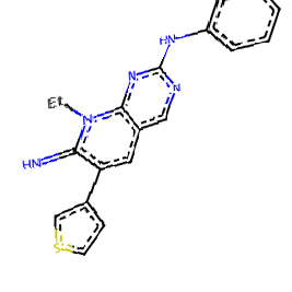 CCn1c(=N)c(-c2ccsc2)cc2cnc(Nc3ccccc3)nc21